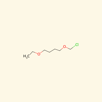 CCOCCCCOCCl